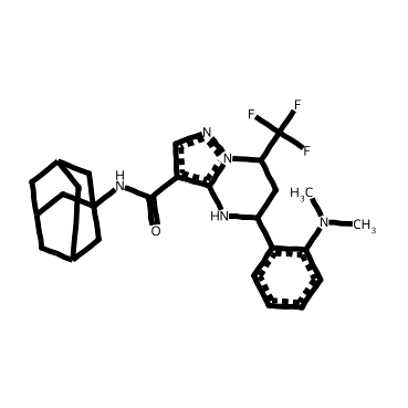 CN(C)c1ccccc1C1CC(C(F)(F)F)n2ncc(C(=O)NC34CC5CC(CC(C5)C3)C4)c2N1